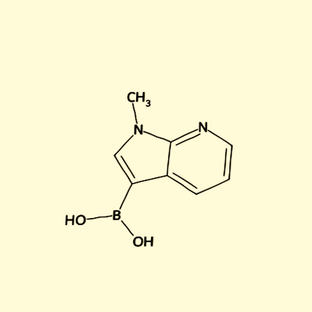 Cn1cc(B(O)O)c2cccnc21